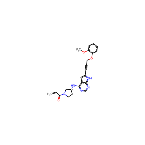 C=CC(=O)N1CC[C@@H](Nc2ncnc3[nH]c(C#CCOc4ccccc4OC(F)(F)F)cc23)C1